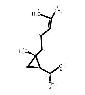 CC(C)=CCC[C@@]1(C)C[C@@H]1[C@H](C)O